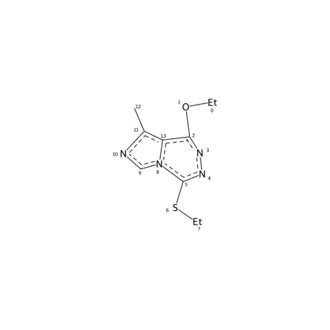 CCOc1nnc(SCC)n2cnc(C)c12